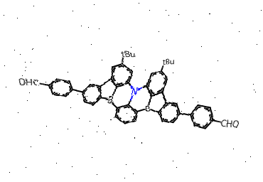 CC(C)(C)c1cc2c3c(c1)N1c4cc(C(C)(C)C)cc5c4B(c4ccc(-c6ccc(C=O)cc6)cc4-5)c4cccc(c41)B3c1ccc(-c3ccc(C=O)cc3)cc1-2